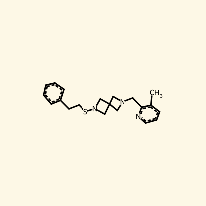 Cc1cccnc1CN1CC2(C1)CN(SCCc1ccccc1)C2